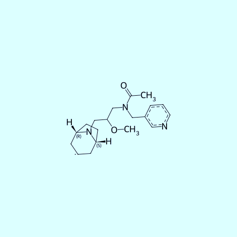 COC(CN(Cc1cccnc1)C(C)=O)CN1[C@@H]2C[CH]C[C@H]1CC2